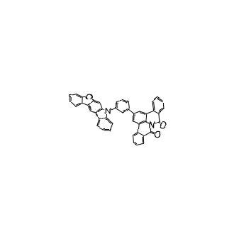 O=c1c2ccccc2c2cc(-c3cccc(-n4c5ccccc5c5cc6c(cc54)oc4ccccc46)c3)cc3c4ccccc4c(=O)n1c23